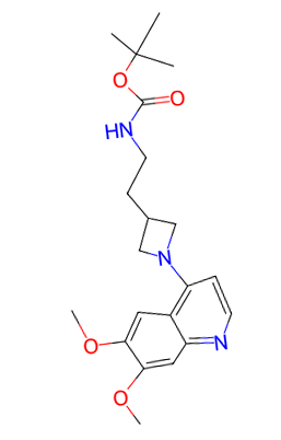 COc1cc2nccc(N3CC(CCNC(=O)OC(C)(C)C)C3)c2cc1OC